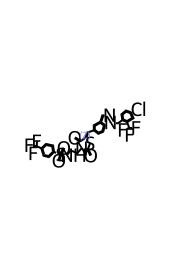 O=C1S/C(=C\c2ccc3c(cnn3Cc3ccc(Cl)cc3C(F)(F)F)c2)C(=O)N1CCNS(=O)(=O)c1ccc(C(F)(F)F)cc1